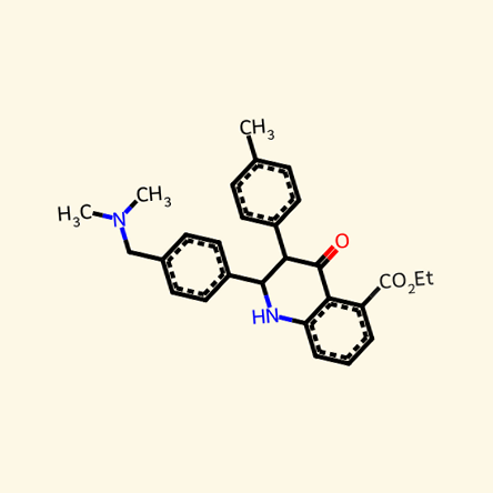 CCOC(=O)c1cccc2c1C(=O)C(c1ccc(C)cc1)C(c1ccc(CN(C)C)cc1)N2